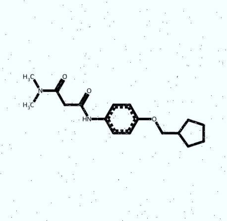 CN(C)C(=O)CC(=O)Nc1ccc(OCC2CCCC2)cc1